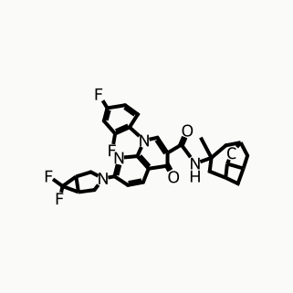 CC1(NC(=O)c2cn(-c3ccc(F)cc3F)c3nc(N4CC5C(C4)C5(F)F)ccc3c2=O)CC2CC3CC(C1)C3C2